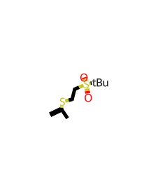 C=C(C)SCCS(=O)(=O)C(C)(C)C